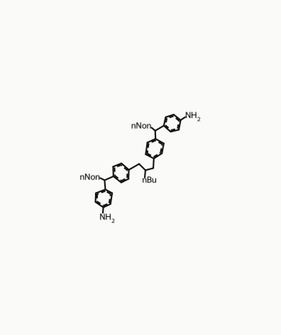 CCCCCCCCCC(c1ccc(N)cc1)c1ccc(CC(CCCC)Cc2ccc(C(CCCCCCCCC)c3ccc(N)cc3)cc2)cc1